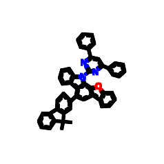 CC1(C)c2ccccc2-c2ccc(-c3cc4c5ccccc5oc4c4c3c3ccccc3n4-c3nc(-c4ccccc4)cc(-c4ccccc4)n3)cc21